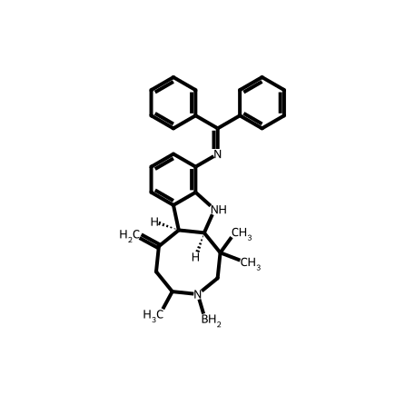 BN1CC(C)(C)[C@@H]2Nc3c(N=C(c4ccccc4)c4ccccc4)cccc3[C@@H]2C(=C)CC1C